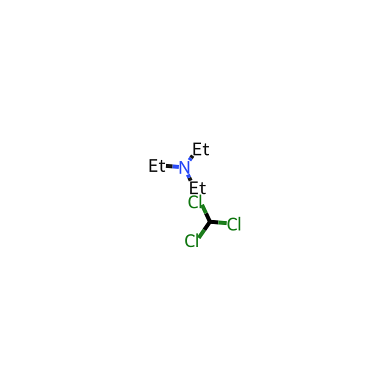 CCN(CC)CC.ClC(Cl)Cl